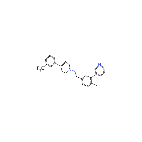 Cc1ccc(CCN2CC=C(c3cccc(C(F)(F)F)c3)CC2)cc1-c1cccnc1